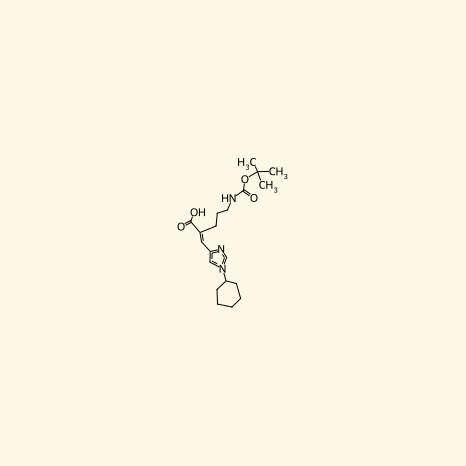 CC(C)(C)OC(=O)NCCC/C(=C\c1cn(C2CCCCC2)cn1)C(=O)O